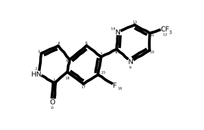 O=c1[nH]ccc2cc(-c3ncc(C(F)(F)F)cn3)c(F)cc12